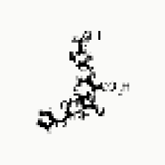 O=C(Cc1ccsc1)N[C@@H]1C(=O)N2C(C(=O)O)=C(Sc3nnc(CO)s3)CS[C@@H]12